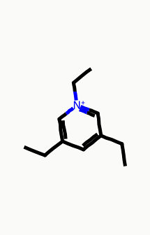 CCc1cc(CC)c[n+](CC)c1